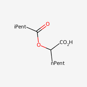 CCCCCC(OC(=O)C(C)CCC)C(=O)O